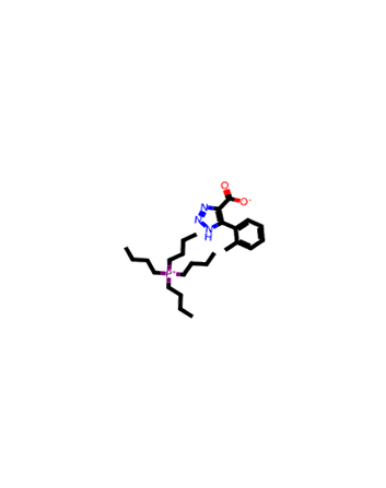 CCCC[P+](CCCC)(CCCC)CCCC.Cc1ccccc1-c1[nH]nnc1C(=O)[O-]